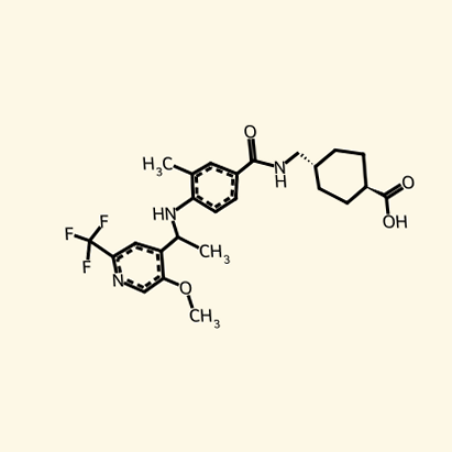 COc1cnc(C(F)(F)F)cc1C(C)Nc1ccc(C(=O)NC[C@H]2CC[C@H](C(=O)O)CC2)cc1C